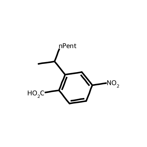 CCCCCC(C)c1cc([N+](=O)[O-])ccc1C(=O)O